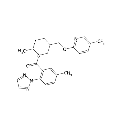 Cc1ccc(-n2nccn2)c(C(=O)N2CC(COc3ccc(C(F)(F)F)cn3)CCC2C)c1